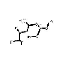 CC(C)O[SiH](OC(C)C)OC(C)CC(F)C(F)F